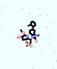 CCOc1nc(C(CS(C)(=O)=O)n2c(=O)n(C)c3cc(-c4ccccc4C)ccc32)ccc1OC